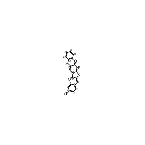 O=c1nc2s/c(=C/c3ccc(Cl)cc3)c(=O)n2nc1Cc1ccccc1